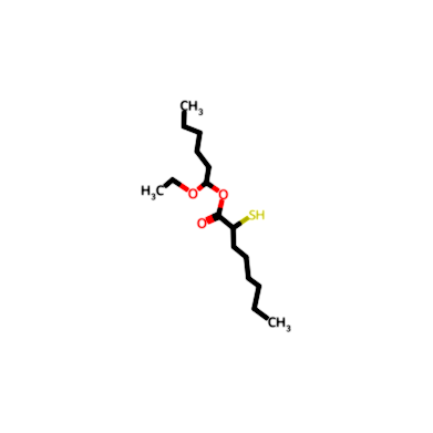 CCCCCCC(S)C(=O)OC(CCCCC)OCC